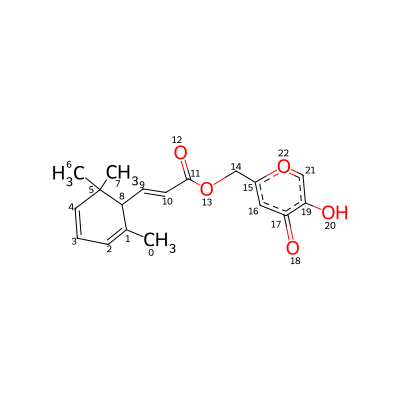 CC1=CC=CC(C)(C)C1C=CC(=O)OCc1cc(=O)c(O)co1